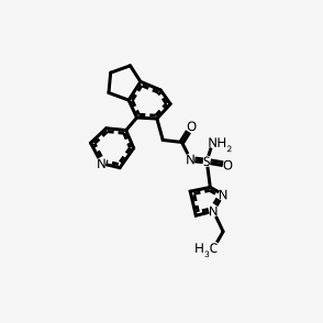 CCn1ccc(S(N)(=O)=NC(=O)Cc2ccc3c(c2-c2ccncc2)CCC3)n1